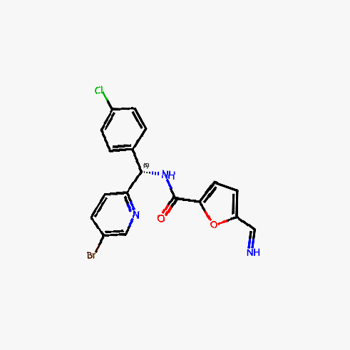 N=Cc1ccc(C(=O)N[C@@H](c2ccc(Cl)cc2)c2ccc(Br)cn2)o1